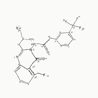 CC(C)Cc1nc2cccc(F)c2c(=O)n1NC(=O)Cc1cccc(C(F)(F)F)c1